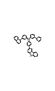 c1ccc(-c2cccc(N(c3ccc(-c4ccc5sc6ccccc6c5c4)cc3)c3cccc(-c4cccc5ccccc45)c3)c2)cc1